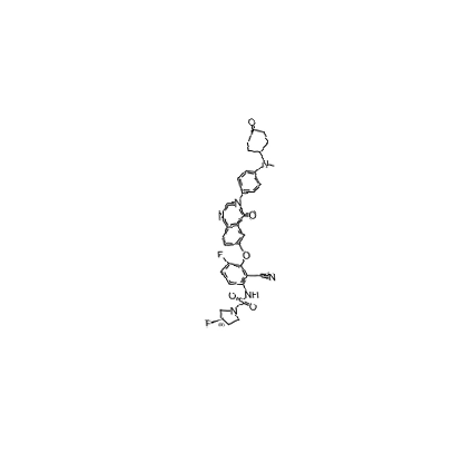 CN(c1ccc(-n2cnc3ccc(Oc4c(F)ccc(NS(=O)(=O)N5CC[C@@H](F)C5)c4C#N)cc3c2=O)cc1)C1CCC(=O)CC1